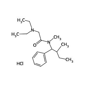 CCC(C)C(c1ccccc1)N(C)C(=O)CN(CC)CC.Cl